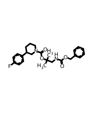 CC(C)(CNC(=O)OCc1ccccc1)OC(=O)N1CCCC(c2ccc(F)cc2)C1